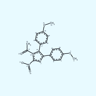 COc1ccc(-c2nc([N+](=O)[O-])n(C(C)=O)c2-c2ccc(OC)cc2)cc1